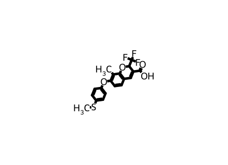 CSc1ccc(Oc2ccc3c(c2C)OC(C(F)(F)F)C(C(=O)O)=C3)cc1